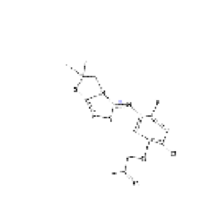 CC(=O)COc1cc(/N=c2\snc3n2CC(C)(C)S3)c(F)cc1Cl